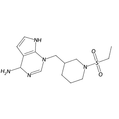 CCS(=O)(=O)N1CCCC(CN2C=NC(N)c3cc[nH]c32)C1